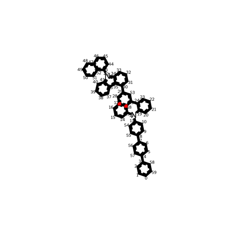 c1ccc(-c2ccc(-c3ccc(N(c4ccccc4)c4ccccc4-c4cccc(-c5cccc6c5c5ccccc5n6-c5cccc6ccccc56)c4)cc3)cc2)cc1